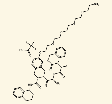 C[C@@H](C(=O)N[C@H](C(=O)N1Cc2cc(OCCOCCOCCOCCOCCN)ccc2C[C@H]1C(=O)N[C@@H]1CCCc2ccccc21)C(C)(C)C)N(C)C(=O)OCc1ccccc1.O=C(O)C(F)(F)F